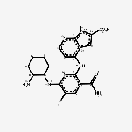 NC(=O)c1cc(F)c(N[C@@H]2CCCC[C@@H]2N)nc1Nc1ccnc2[nH]c(C(=O)O)cc12